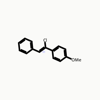 COc1ccc(/C(Cl)=C/c2ccccc2)cc1